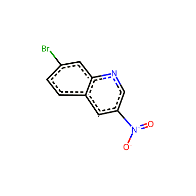 O=[N+]([O-])c1[c]c2ccc(Br)cc2nc1